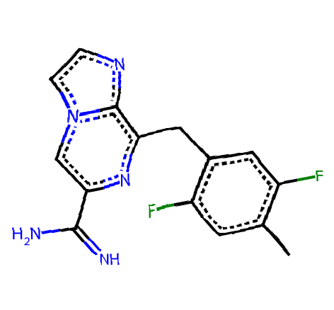 Cc1cc(F)c(Cc2nc(C(=N)N)cn3ccnc23)cc1F